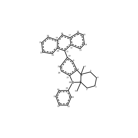 CC12CCCCC1(C)c1cc(-c3c4ccccc4cc4ccccc34)ccc1B2c1ccccc1